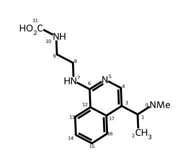 CNC(C)c1cnc(NCCNC(=O)O)c2ccccc12